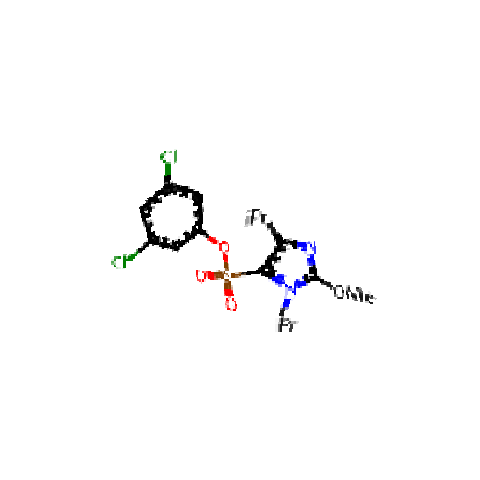 COc1nc(C(C)C)c(S(=O)(=O)Oc2cc(Cl)cc(Cl)c2)n1C(C)C